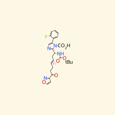 CC(C)(C)OC(=O)NC(C/C=C/CCC(=O)c1ccon1)c1ncc(-c2ccccc2F)n1C(=O)O